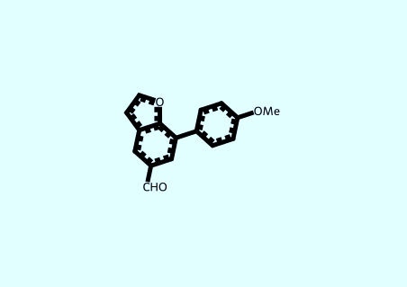 COc1ccc(-c2cc(C=O)cc3ccoc23)cc1